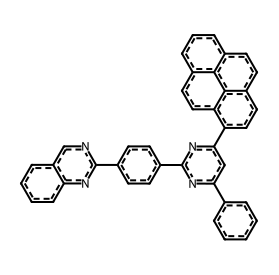 c1ccc(-c2cc(-c3ccc4ccc5cccc6ccc3c4c56)nc(-c3ccc(-c4ncc5ccccc5n4)cc3)n2)cc1